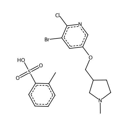 CN1CCC(COc2cnc(Cl)c(Br)c2)C1.Cc1ccccc1S(=O)(=O)O